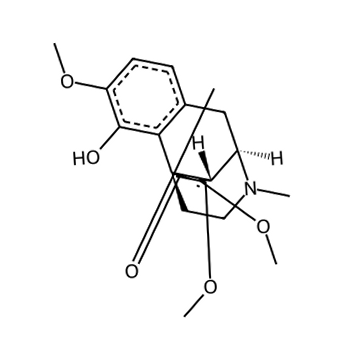 COC1=C(OC)[C@H]2[C@H]3Cc4ccc(OC)c(O)c4[C@@]2(CCN3C)CC1=O